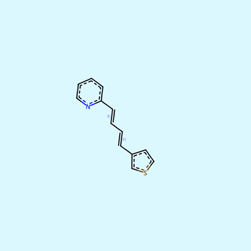 C(/C=C/c1ccccn1)=C\c1ccsc1